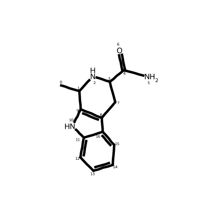 CC1NC(C(N)=O)Cc2c1[nH]c1ccccc21